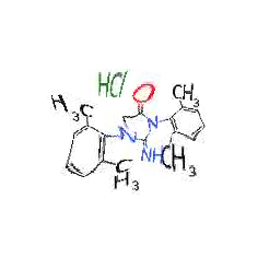 Cc1cccc(C)c1N1CC(=O)N(c2c(C)cccc2C)C1=N.Cl